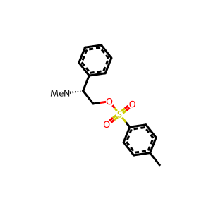 CN[C@@H](COS(=O)(=O)c1ccc(C)cc1)c1ccccc1